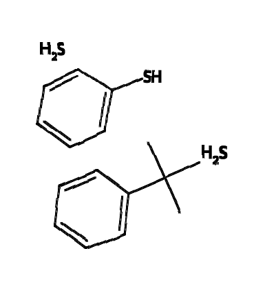 CC(C)(C)c1ccccc1.S.S.Sc1ccccc1